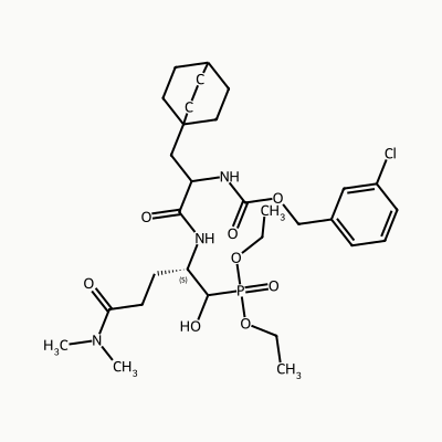 CCOP(=O)(OCC)C(O)[C@H](CCC(=O)N(C)C)NC(=O)C(CC12CCC(CC1)CC2)NC(=O)OCc1cccc(Cl)c1